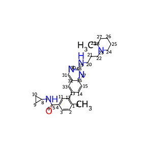 Cc1ccc(C(=O)NC2CC2)cc1-c1ccc2nc(NCCCN3CCCCC3C)ncc2c1